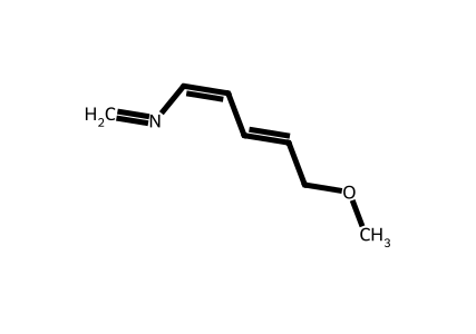 C=N/C=C\C=C\COC